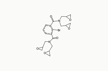 O=C(c1cccc(C(=O)N(CC2CO2)CC2CO2)c1Br)N(CC1CO1)CC1CO1